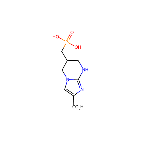 O=C(O)c1cn2c(n1)NCC(CP(=O)(O)O)C2